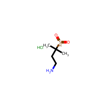 CC(C)(CCN)[SH](=O)=O.Cl